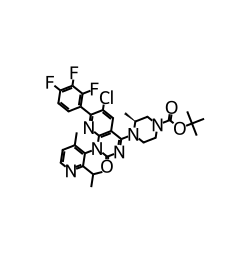 Cc1ccnc(C(C)C)c1-n1c(=O)nc(N2CCN(C(=O)OC(C)(C)C)C[C@@H]2C)c2cc(Cl)c(-c3ccc(F)c(F)c3F)nc21